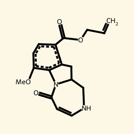 C=CCOC(=O)c1ccc(OC)c2c1CC1CNC=CC(=O)N21